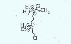 C=CC(Cl)[Si](C)(OCC)OCCCO[Si](C)(C=CCCl)OCC